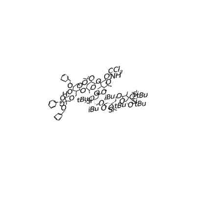 CC[C@H](C)[C@H](C[C@@H](CC(=O)O[C@H]1C(C)O[C@H](OC(=N)C(Cl)(Cl)Cl)C(O[C@@H]2OC(C)[C@H](O[C@@H]3OC[C@@H](OCc4ccccc4)C(O[C@@H]4OCC5(COCc6ccccc6)O[C@@H](c6ccccc6)O[C@H]45)C3C)C3OC(C)(C)OC32)C1C)O[Si](C)(C)C(C)(C)C)OC(=O)C[C@H](C[C@H](O[C@@H]1O[C@@H](CO[Si](C)(C)C(C)(C)C)C(O[Si](C)(C)C(C)(C)C)C1C)[C@@H](C)CC)O[Si](C)(C)C(C)(C)C